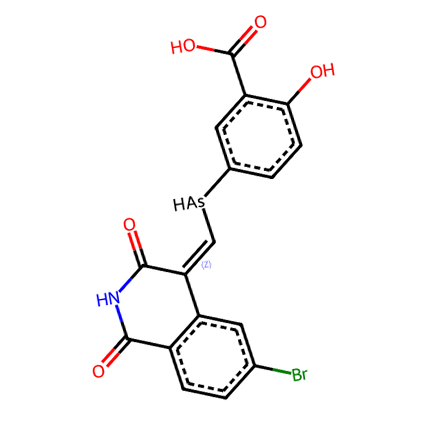 O=C1NC(=O)c2ccc(Br)cc2/C1=C/[AsH]c1ccc(O)c(C(=O)O)c1